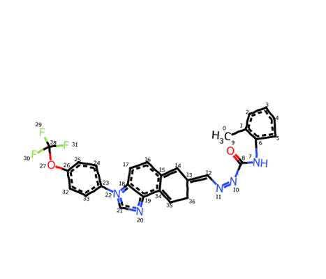 Cc1ccccc1NC(=O)/N=N\C=C1\C=c2ccc3c(ncn3-c3ccc(OC(F)(F)F)cc3)c2=CC1